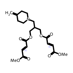 C=C1CCN(CC(COC(=O)/C=C/C(=O)OC)COC(=O)/C=C/C(=O)OC)CC1